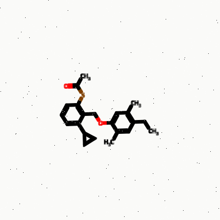 CCc1cc(C)c(OCc2c(SC(C)=O)cccc2C2CC2)cc1C